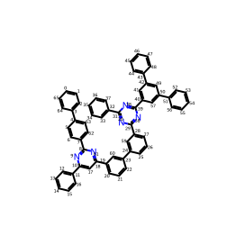 c1ccc(-c2ccc(-c3nc(-c4ccccc4)cc(-c4cccc(-c5cccc(-c6nc(-c7ccccc7)nc(-c7cc(-c8ccccc8)cc(-c8ccccc8)c7)n6)c5)c4)n3)cc2)cc1